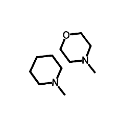 CN1CCCCC1.CN1CCOCC1